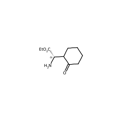 CCOC(=O)[C@@H](N)C1CCCCC1=O